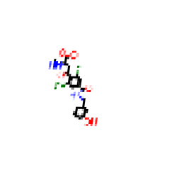 CNC(CC(=O)c1c(Cl)cc(C(=O)NCc2cccc(O)c2)cc1Cl)C(=O)O